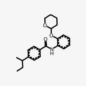 CCC(C)c1ccc(C(=O)Nc2ccccc2OC2CCCCO2)cc1